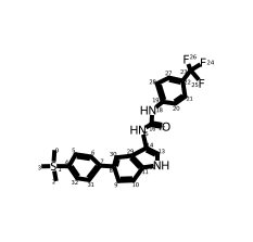 CS(C)(C)c1ccc(-c2ccc3[nH]cc(NC(=O)Nc4ccc(C(F)(F)F)cc4)c3c2)cc1